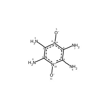 Nc1c(N)[n+]([O-])c(N)c(N)[n+]1[O-]